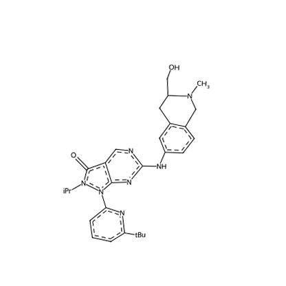 CC(C)n1c(=O)c2cnc(Nc3ccc4c(c3)CC(CO)N(C)C4)nc2n1-c1cccc(C(C)(C)C)n1